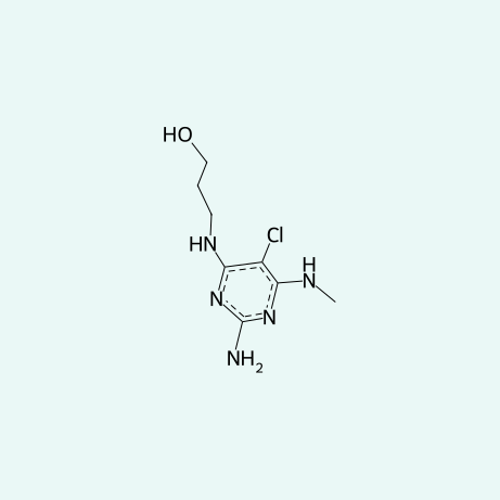 CNc1nc(N)nc(NCCCO)c1Cl